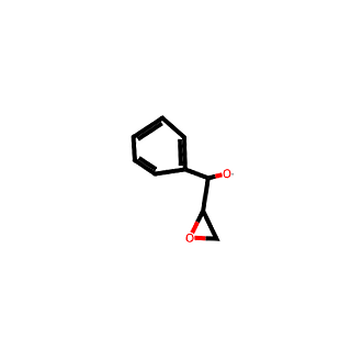 [O]C(c1ccccc1)C1CO1